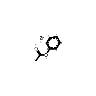 CC(=O)Oc1ccccc1.[Zr]